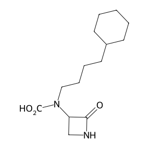 O=C1NCC1N(CCCCC1CCCCC1)C(=O)O